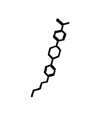 CCCCCc1ccc(C2CCC(c3ccc(C(C)=O)cc3)CC2)cc1